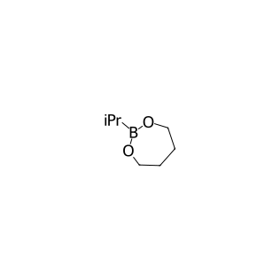 CC(C)B1OCCCCO1